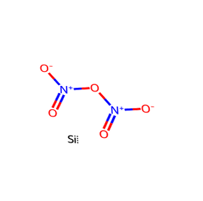 O=[N+]([O-])O[N+](=O)[O-].[Si]